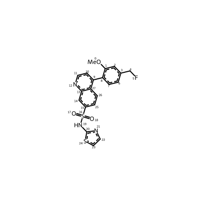 COc1cc(CF)ccc1-c1ccnc2cc(S(=O)(=O)Nc3nccs3)ccc12